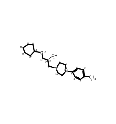 Cc1ccc(N2CCN(C[C@@H](O)COC3CCCCC3)CC2)cc1